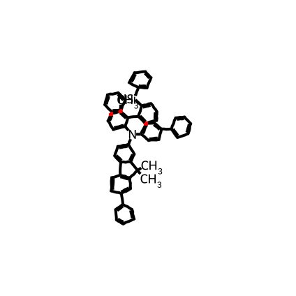 Cc1cccc(N(c2ccc(-c3ccccc3)cc2)c2ccc3c(c2)C(C)(C)c2cc(-c4ccccc4)ccc2-3)c1-c1ccccc1[SiH](c1ccccc1)c1ccccc1